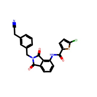 N#CCc1cccc(CN2C(=O)c3cccc(NC(=O)c4ccc(Cl)s4)c3C2=O)c1